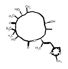 C/C(=C\c1csc(C)n1)[C@@H]1CC(I)[C@H](O)CCCC(C)[C@H](O)C(C)C(=O)C(C)(C)C(O)CC(=O)O1